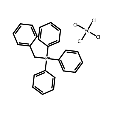 [Cl][Fe-]([Cl])([Cl])[Cl].c1ccc(C[P+](c2ccccc2)(c2ccccc2)c2ccccc2)cc1